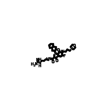 N=C(N)NCCCCNC(=O)c1cn2c3c(c(NCCCN4CCOCC4)c(F)cc3c1=O)Oc1cc3ccccc3cc1-2